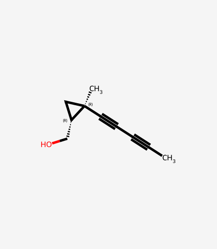 CC#CC#C[C@]1(C)C[C@H]1CO